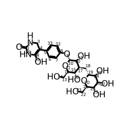 O=C1NCC(c2ccc(O[C@H]3O[C@H](CO)[C@@H](O)[C@H](C[C@H]4O[C@H](CO)[C@@H](O)[C@H](O)[C@@H]4O)[C@@H]3O)cc2)=C(O)N1